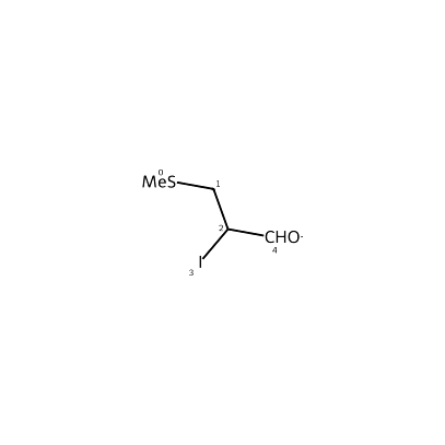 CSCC(I)[C]=O